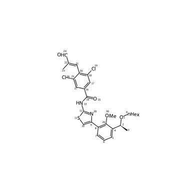 CCCCCCO[C@@H](C)c1cccc(-c2csc(NC(=O)c3cc(Cl)c(/C=C(\C)C=O)c(Cl)c3)n2)c1OC